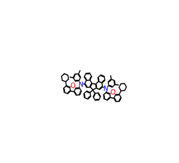 Cc1cc(C)cc(N(c2cc3c(c4ccccc24)-c2c(cc(N(c4cc(C)cc(C)c4)c4cccc5c4oc4c(C6CCCCC6)cccc45)c4ccccc24)C3(c2ccccc2)c2ccccc2)c2cccc3c2oc2c(C4CCCCC4)cccc23)c1